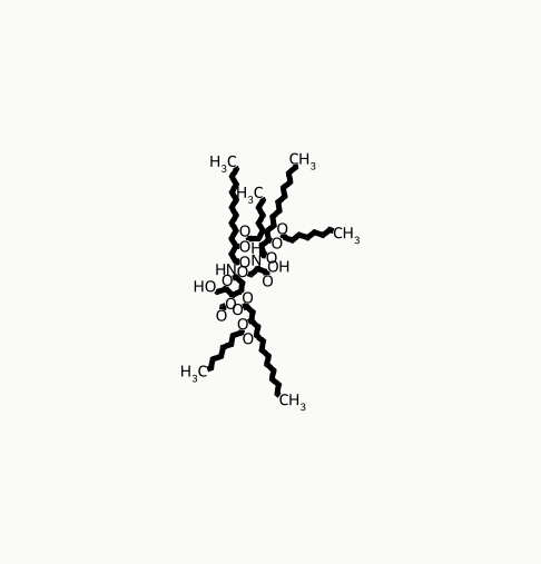 CCCCCCCCCCCC(CC(=O)NC(COC1(NC(=O)CC(CCCCCCCCCCC)OC(=O)CCCCCCC)CC(OC(=O)CC(CCCCCCCCCCC)OC(=O)CCCCCCC)C(OC=O)C(CO)O1)C(=O)O)OC(=O)CCCCCCC